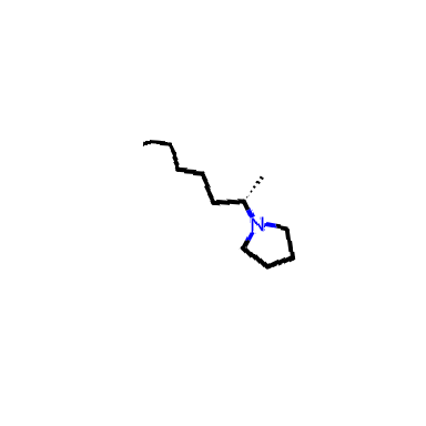 CCCCC[C@H](C)N1CCCC1